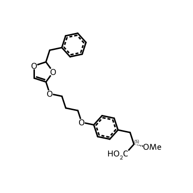 CO[C@@H](Cc1ccc(OCCCOC2=COC(Cc3ccccc3)O2)cc1)C(=O)O